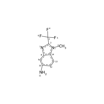 Cn1c(C(F)(F)F)nc2cc(N)ccc21